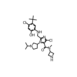 CC(C)N1CCC(n2c(CNc3cc(C(C)(C)C)c(Cl)cc3O)nc(Cl)c2C(=O)N(C)C2CNC2)C1